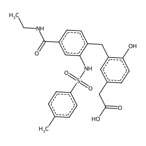 CCNC(=O)c1ccc(Cc2cc(CC(=O)O)ccc2O)c(NS(=O)(=O)c2ccc(C)cc2)c1